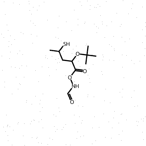 CC(S)CC(OC(C)(C)C)C(=O)ONC=O